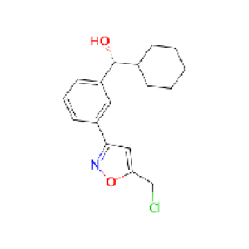 O[C@@H](c1cccc(-c2cc(CCl)on2)c1)C1CCCCC1